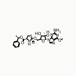 COc1nc(N)nc2c1ncn2[C@@H]1OC(CO[P@]2(=O)N[C@@H](C(=O)O[C@H](C)c3ccccc3)CS2)[C@@H](O)[C@@]1(C)O